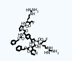 N=C(N)NCCC[C@H](NC(=O)[C@@H]1CCCN1C(=O)[C@@H](NC(=O)OCc1ccccc1)c1ccc(C2C[C@@H](C(=O)N[C@@H](CCCNC(=N)N)C(=O)CF)N(C(=O)[C@H](NC(=O)OCc3ccccc3)c3cccnc3)C2)cc1)C(=O)CF